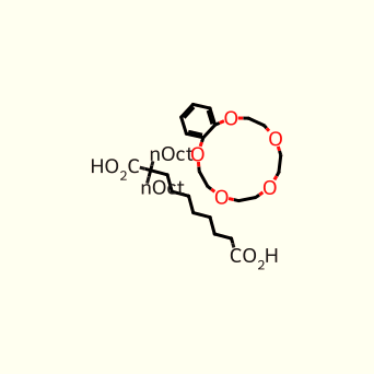 CCCCCCCCC(CCCCCCCC)(CCCCCCCC(=O)O)C(=O)O.c1ccc2c(c1)OCCOCCOCCOCCO2